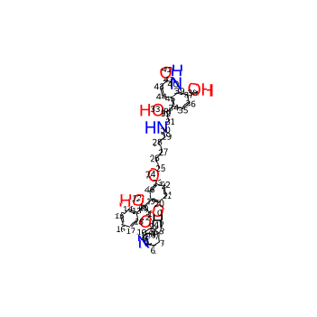 O=C(O[C@H]1CN2CCC1CC2)[C@@](O)(c1ccccc1)c1cccc(OCCCCCNC[C@H](O)c2ccc(O)c3[nH]c(=O)ccc23)c1